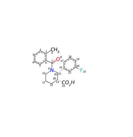 Cc1ccccc1C(=O)N1CCC[C@@H](C(=O)O)[C@H]1c1cccc(F)c1